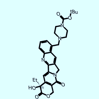 CC[C@@]1(O)C(=O)OCc2c1cc1n(c2=O)Cc2cc3c(CN4CCN(C(=O)OC(C)(C)C)CC4)cccc3nc2-1